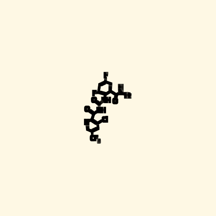 CCNC(=O)c1cc(F)cc(F)c1NC(=O)NC(=O)c1ncc(C(F)(F)F)cc1Cl